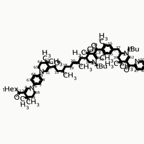 CCCCCCC(=O)C1=CN(c2ccc(N3C=C(C(=O)CC(C)CC/C=C(\C)CC4CN(C(C)(C)C)C=C(C(=O)c5c(C)cc(CC6CC(C)(C)C(C(=O)c7ccccn7)=CN6C(C)(C)C)cc5C)C4(C)C)C(C)(C)CC3)cc2)CCC1(C)C